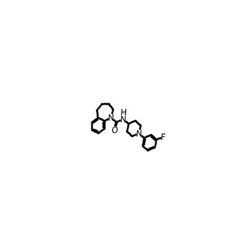 O=C(NC1CCN(c2cccc(F)c2)CC1)N1CCCCc2ccccc21